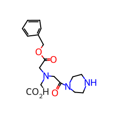 O=C(O)CN(CC(=O)OCc1ccccc1)CC(=O)N1CCNCC1